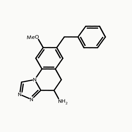 COc1cc2c(cc1Cc1ccccc1)CC(N)c1nncn1-2